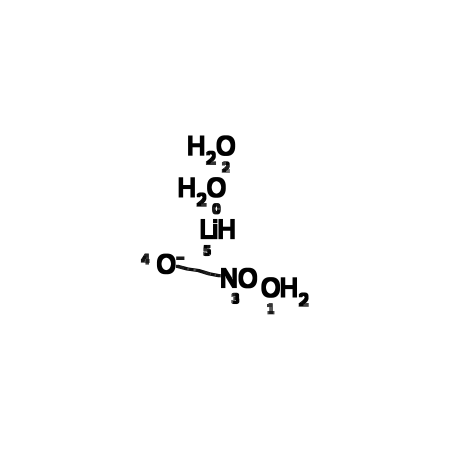 O.O.O.O=[NH+][O-].[LiH]